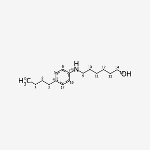 CCCCc1ccc(NCCCCCCO)cc1